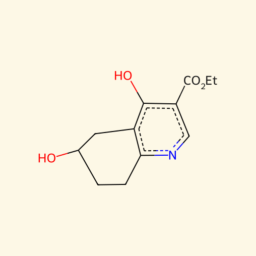 CCOC(=O)c1cnc2c(c1O)CC(O)CC2